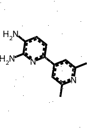 Cc1cc(-c2ccc(N)c(N)n2)cc(C)n1